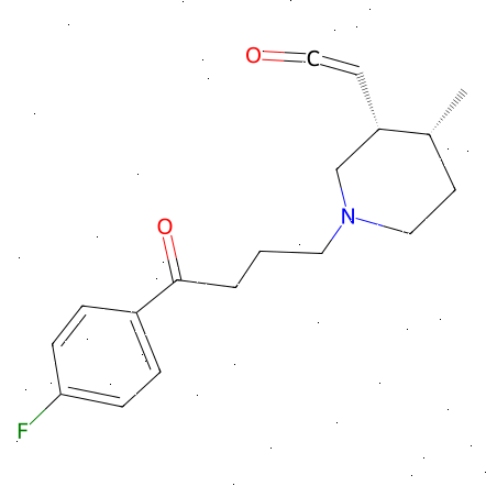 C[C@@H]1CCN(CCCC(=O)c2ccc(F)cc2)C[C@@H]1C=C=O